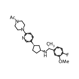 COc1cc([C@@H](C)N[C@H]2CC[C@@H](c3ccc(N4CCN(C(C)=O)CC4)nc3)C2)ccc1F